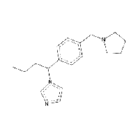 CCCC(c1ccc(CN2CCCC2)cc1)n1ccnc1